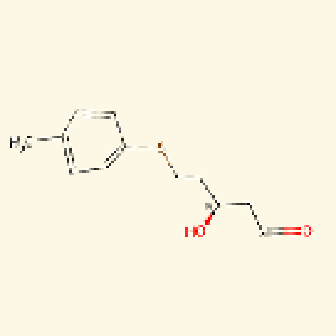 Cc1ccc(SCC[C@H](O)C[C]=O)cc1